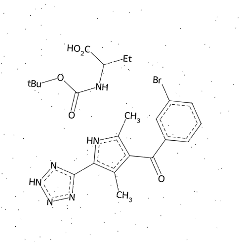 CCC(NC(=O)OC(C)(C)C)C(=O)O.Cc1[nH]c(-c2nn[nH]n2)c(C)c1C(=O)c1cccc(Br)c1